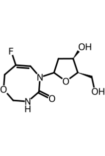 O=C1NCOC/C(F)=C\N1C1C[C@@H](O)[C@@H](CO)O1